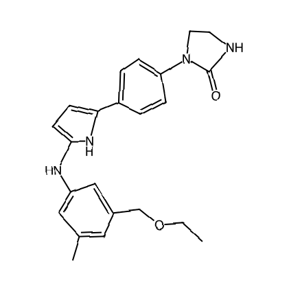 CCOCc1cc(C)cc(Nc2ccc(-c3ccc(N4CCNC4=O)cc3)[nH]2)c1